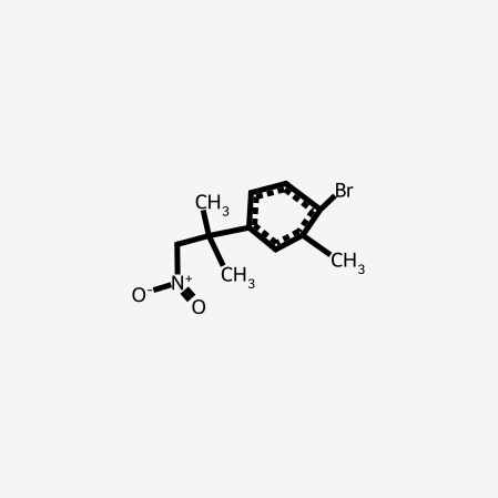 Cc1cc(C(C)(C)C[N+](=O)[O-])ccc1Br